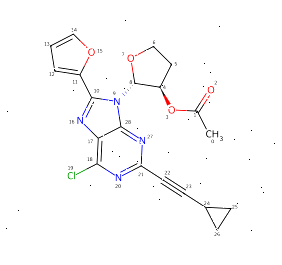 CC(=O)O[C@@H]1CCO[C@H]1n1c(-c2ccco2)nc2c(Cl)nc(C#CC3CC3)nc21